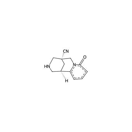 N#C[C@@]12CNC[C@@H](C1)c1cccc(=O)n1C2